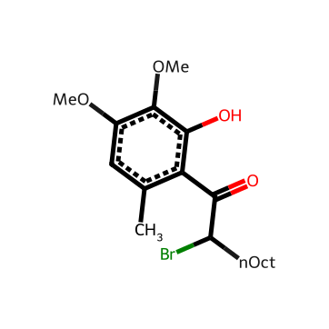 CCCCCCCCC(Br)C(=O)c1c(C)cc(OC)c(OC)c1O